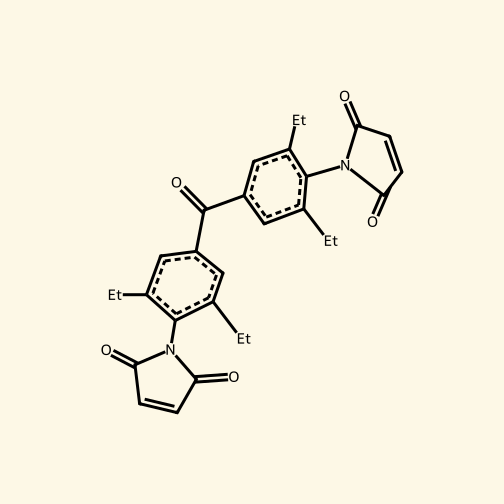 CCc1cc(C(=O)c2cc(CC)c(N3C(=O)C=CC3=O)c(CC)c2)cc(CC)c1N1C(=O)C=CC1=O